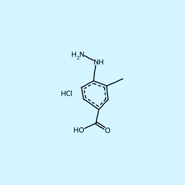 Cc1cc(C(=O)O)ccc1NN.Cl